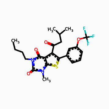 CCCCn1c(=O)c2c(C(=O)CC(C)C)c(-c3cccc(OC(F)(F)F)c3)sc2n(C)c1=O